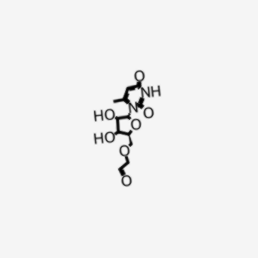 Cc1cc(=O)[nH]c(=O)n1[C@H]1O[C@@H](COCC=O)C(O)C1O